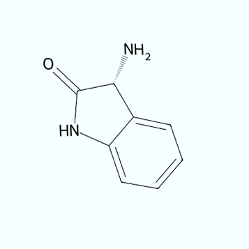 N[C@H]1C(=O)Nc2ccccc21